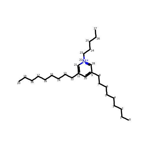 CCCCCCCCCc1cc(CCCCCCCCC)c[n+](CCCCC)c1